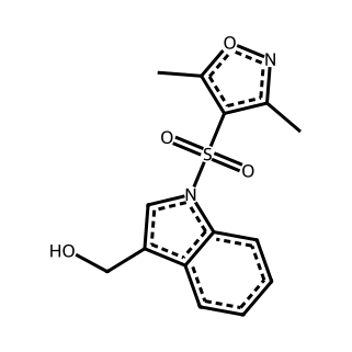 Cc1noc(C)c1S(=O)(=O)n1cc(CO)c2ccccc21